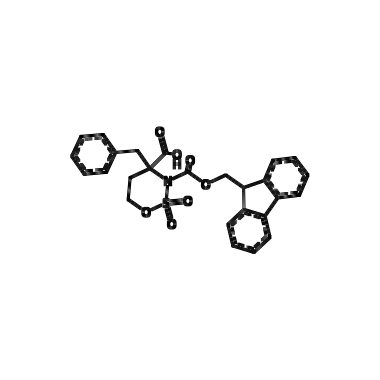 O=C(OCC1c2ccccc2-c2ccccc21)N1C(Cc2ccccc2)(C(=O)O)CCOS1(=O)=O